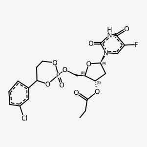 CCC(=O)O[C@H]1C[C@H](n2cc(F)c(=O)[nH]c2=O)O[C@@H]1COP1(=O)OCCC(c2cccc(Cl)c2)O1